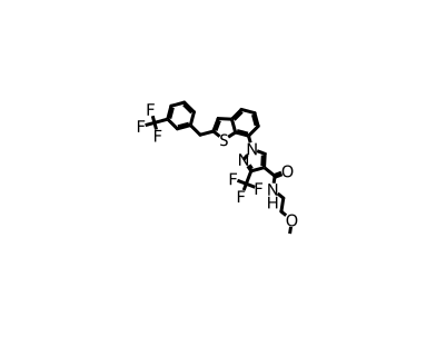 COCCNC(=O)c1cn(-c2cccc3cc(Cc4cccc(C(F)(F)F)c4)sc23)nc1C(F)(F)F